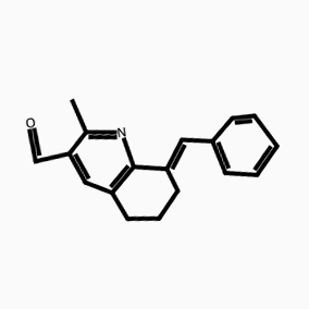 Cc1nc2c(cc1C=O)CCCC2=Cc1ccccc1